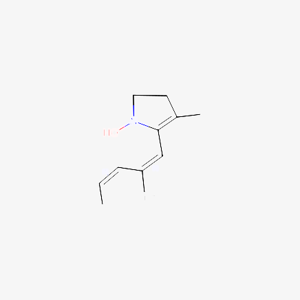 C/C=C\C(=C/C1=C(C)CCN1O)C(C)C